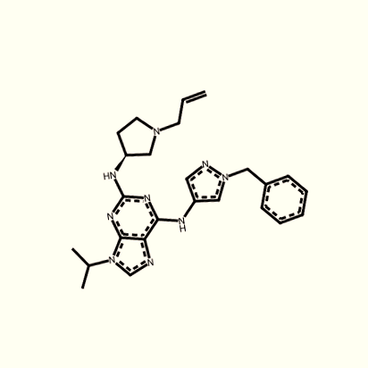 C=CCN1CC[C@H](Nc2nc(Nc3cnn(Cc4ccccc4)c3)c3ncn(C(C)C)c3n2)C1